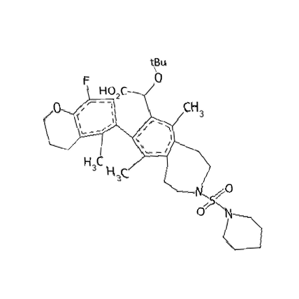 Cc1c(-c2c(C)c3c(c(C)c2C(OC(C)(C)C)C(=O)O)CCN(S(=O)(=O)N2CCCCC2)CC3)cc(F)c2c1CCCO2